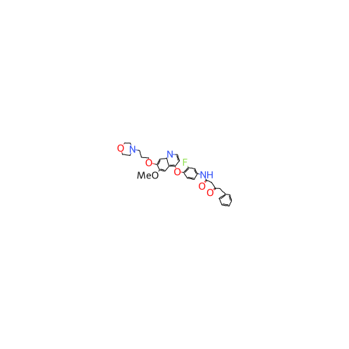 COc1cc2c(Oc3ccc(NC(=O)CC(=O)Cc4ccccc4)cc3F)ccnc2cc1OCCCN1CCOCC1